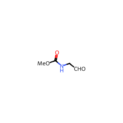 COC(=O)NCC=O